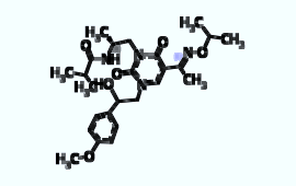 COc1ccc(C(O)Cn2cc(/C(C)=N/OC(C)C)c(=O)n(C[C@H](C)NC(=O)C(C)C)c2=O)cc1